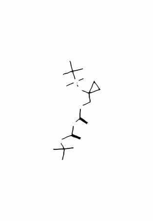 CC(C)(C)OC(=O)NC(=S)NCC1(O[Si](C)(C)C(C)(C)C)CC1